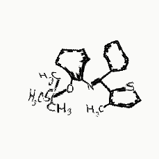 Cc1ccsc1C(=Nc1ccccc1O[Si](C)(C)C)c1ccccc1